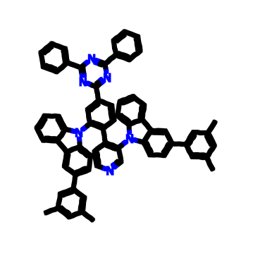 Cc1cc(C)cc(-c2ccc3c(c2)c2ccccc2n3-c2cnccc2-c2ccc(-c3nc(-c4ccccc4)nc(-c4ccccc4)n3)cc2-n2c3ccccc3c3cc(-c4cc(C)cc(C)c4)ccc32)c1